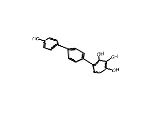 Oc1ccc(-c2ccc(-c3ccc(O)c(O)c3O)cc2)cc1